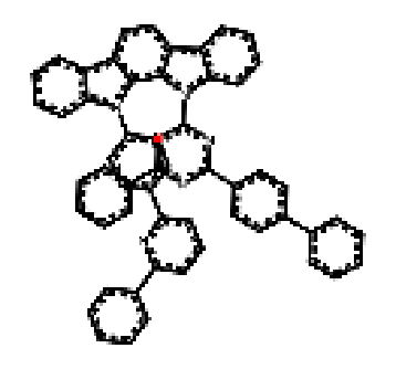 c1ccc(-c2ccc(-c3nc(-c4ccccc4)nc(-n4c5ccccc5c5ccc6c7ccccc7n(-c7ccc(-c8cccc(-c9ccccc9)n8)cc7)c6c54)n3)cc2)cc1